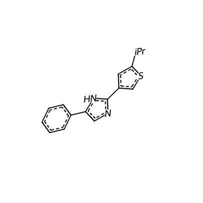 CC(C)c1cc(-c2ncc(-c3ccccc3)[nH]2)cs1